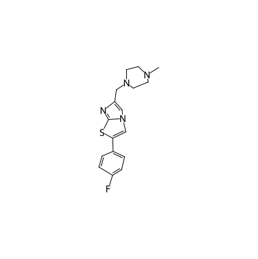 CN1CCN(Cc2cn3cc(-c4ccc(F)cc4)sc3n2)CC1